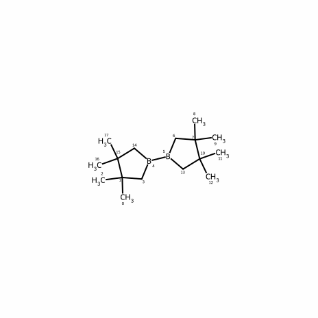 CC1(C)CB(B2CC(C)(C)C(C)(C)C2)CC1(C)C